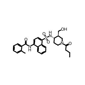 CCCC(=O)N1CC[C@H](NS(=O)(=O)c2ccc(NC(=O)c3ccccc3C)c3ccccc23)[C@@H](CO)C1